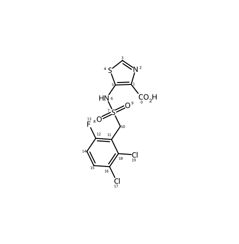 O=C(O)c1ncsc1NS(=O)(=O)Cc1c(F)ccc(Cl)c1Cl